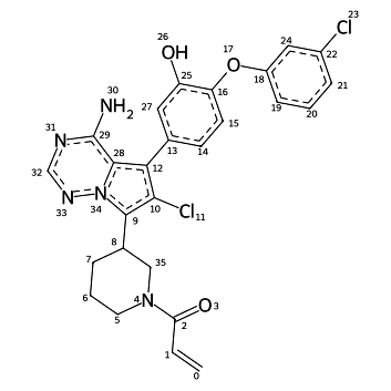 C=CC(=O)N1CCCC(c2c(Cl)c(-c3ccc(Oc4cccc(Cl)c4)c(O)c3)c3c(N)ncnn23)C1